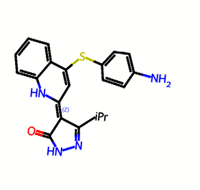 CC(C)C1=NNC(=O)/C1=C1/C=C(Sc2ccc(N)cc2)c2ccccc2N1